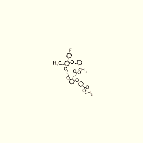 CCc1cc(-c2ccc(F)cc2)c(OCc2ccccc2)cc1OCCCOc1cccc(Oc2ccc(C(=O)OC)cc2)c1CCC(=O)OC